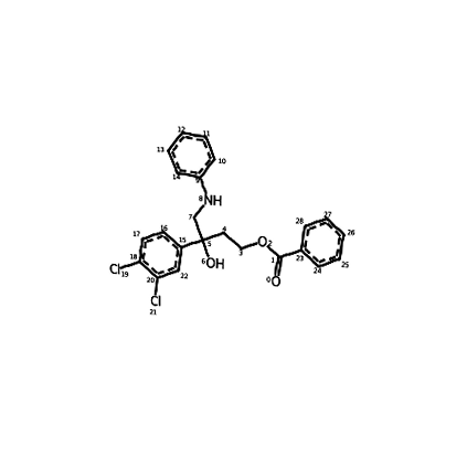 O=C(OCCC(O)(CNc1ccccc1)c1ccc(Cl)c(Cl)c1)c1ccccc1